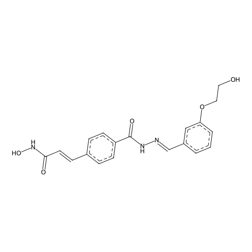 O=C(/C=C/c1ccc(C(=O)N/N=C/c2cccc(OCCO)c2)cc1)NO